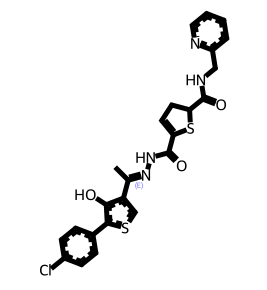 C/C(=N\NC(=O)C1=CCC(C(=O)NCc2ccccn2)S1)c1csc(-c2ccc(Cl)cc2)c1O